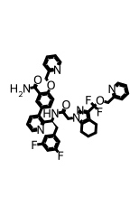 NC(=O)c1cc(-c2cccnc2[C@H](Cc2cc(F)cc(F)c2)NC(=O)Cn2nc(C(F)(F)OCc3ccccn3)c3c2CCCC3)ccc1OCc1ccccn1